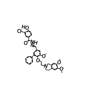 COc1cc2c(cc1OC)CN(CCOc1c(OC)cc(/C=N/NC(=O)c3ccc(O)c(Cl)c3)cc1-c1ccccc1)CC2